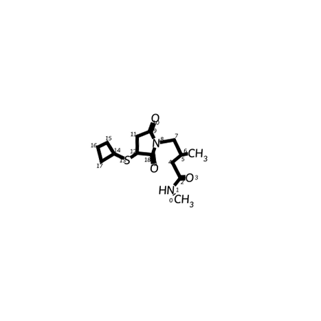 CNC(=O)CC(C)CN1C(=O)CC(SC2CCC2)C1=O